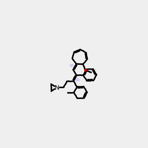 CCC1C=CC=CC/C1=C/C(=C(\CCN1CC1)C1=CC=CCC1C)c1ccccc1